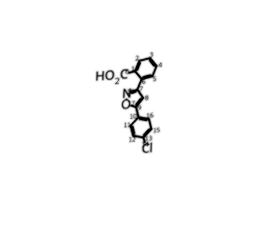 O=C(O)c1ccccc1-c1cc(-c2ccc(Cl)cc2)on1